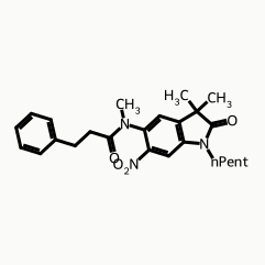 CCCCCN1C(=O)C(C)(C)c2cc(N(C)C(=O)CCc3ccccc3)c([N+](=O)[O-])cc21